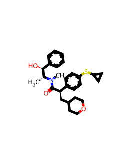 C[C@H]([C@H](O)c1ccccc1)N(C)C(=O)[C@H](CC1CCOCC1)c1ccc(SC2CC2)cc1